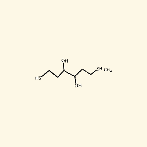 C.OC(CCS)C(O)CCS